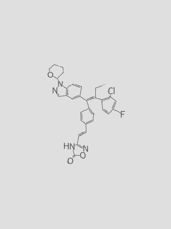 CC/C(=C(/c1ccc(/C=C/c2noc(=O)[nH]2)cc1)c1ccc2c(cnn2C2CCCCO2)c1)c1ccc(F)cc1Cl